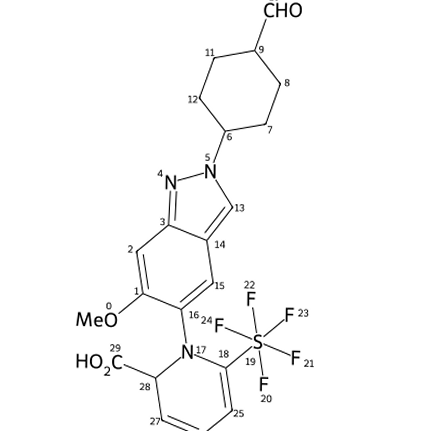 COc1cc2nn(C3CCC(C=O)CC3)cc2cc1N1C(S(F)(F)(F)(F)F)=CC=CC1C(=O)O